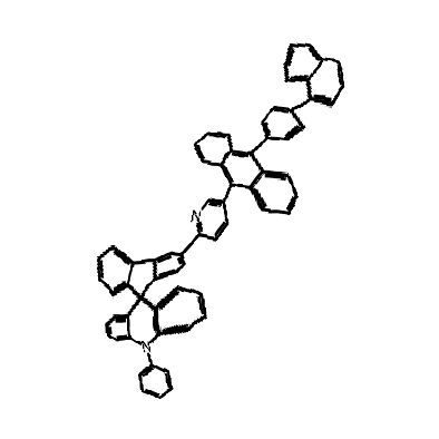 c1ccc(N2c3ccccc3C3(c4ccccc4-c4cc(-c5ccc(-c6c7ccccc7c(-c7ccc(-c8cccc9ccccc89)cc7)c7ccccc67)cn5)ccc43)c3ccccc32)cc1